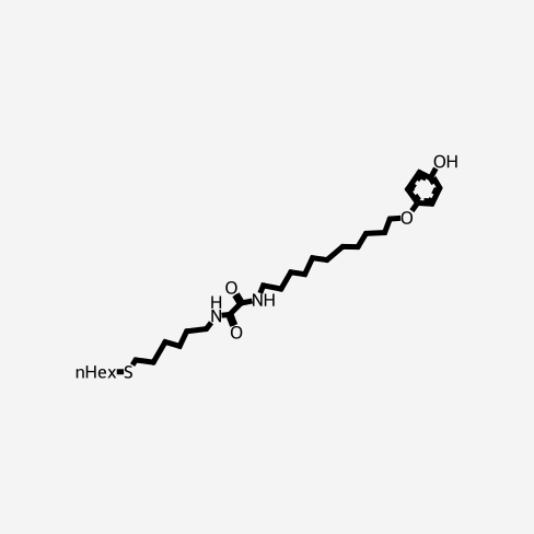 CCCCCCSCCCCCCNC(=O)C(=O)NCCCCCCCCCCCOc1ccc(O)cc1